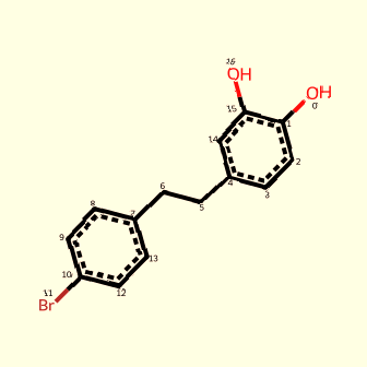 Oc1ccc(CCc2ccc(Br)cc2)cc1O